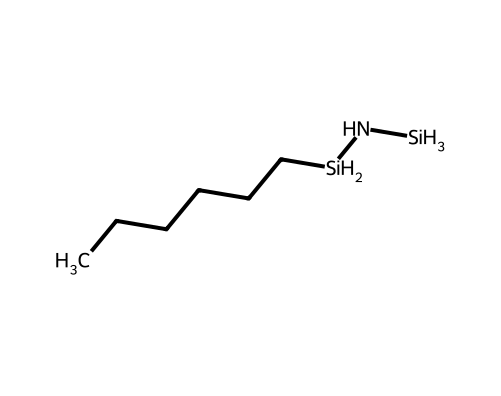 CCCCCC[SiH2]N[SiH3]